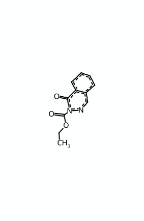 CCOC(=O)n1ncc2ccccc2c1=O